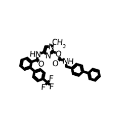 Cn1cc(NC(=O)c2ccccc2-c2ccc(C(F)(F)F)cc2)nc1OC(=O)NCc1ccc(-c2ccccc2)cc1